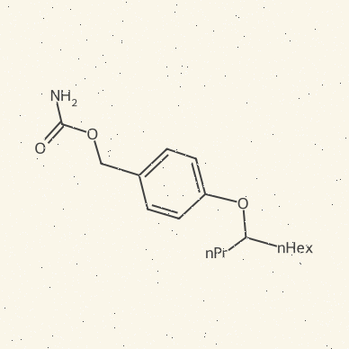 CCCCCCC(CCC)Oc1ccc(COC(N)=O)cc1